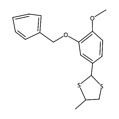 COc1ccc(C2SCC(C)S2)cc1OCc1ccccc1